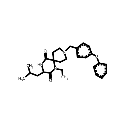 CCN1C(=O)C(CC(C)C)NC(=O)C12CCN(Cc1ccc(Oc3ccccc3)cc1)CC2